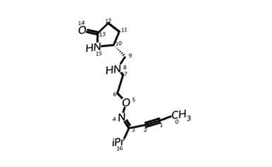 CC#C/C(=N\OCCNC[C@H]1CCC(=O)N1)C(C)C